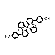 Oc1ccc(-c2cccc(C(c3ccccc3)(c3ccccc3)c3cccc(-c4ccc(O)cc4)c3O)c2O)cc1